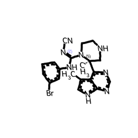 Cc1c[nH]c2ncnc([C@]3(C)CNCCN3/C(=N\C#N)Nc3cccc(Br)c3)c12